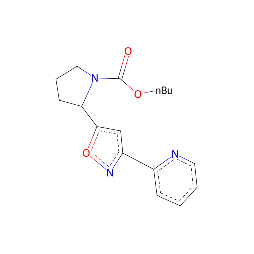 CCCCOC(=O)N1CCCC1c1cc(-c2ccccn2)no1